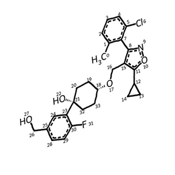 Cc1cccc(Cl)c1-c1noc(C2CC2)c1CO[C@H]1CC[C@](O)(c2cc(CO)ccc2F)CC1